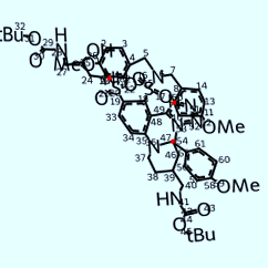 COc1ccc(CN(Cc2ccc(OC)cc2)S(=O)(=O)c2c(S(=O)(=O)NC[C@H](O)CNC(=O)OC(C)(C)C)ccc(N3CCC(CNC(=O)OC(C)(C)C)CC3)c2-c2nnnn2Cc2ccc(OC)cc2)cc1